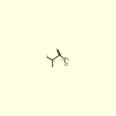 C=C([SiH2]Cl)C(C)C